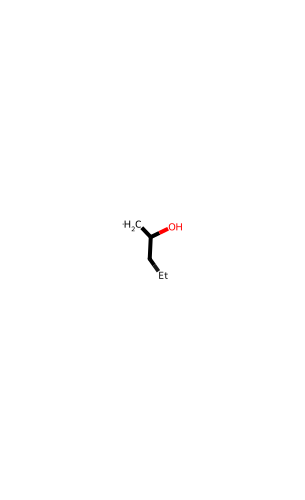 [CH2]CCC([CH2])O